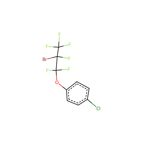 FC(F)(F)C(F)(Br)C(F)(F)Oc1ccc(Cl)cc1